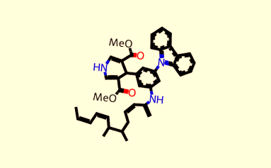 C=C(/C=C\CC(C)C(C)/C=C\C=C/C)Nc1cc(C2C(C(=O)OC)=CNC=C2C(=O)OC)cc(-n2c3ccccc3c3ccccc32)c1